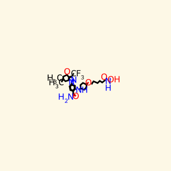 CC1(C)CC(=O)c2c(C(F)(F)F)nn(-c3ccc(C(N)=O)c(NC4CCC(OCCCCCC(=O)NO)CC4)c3)c2C1